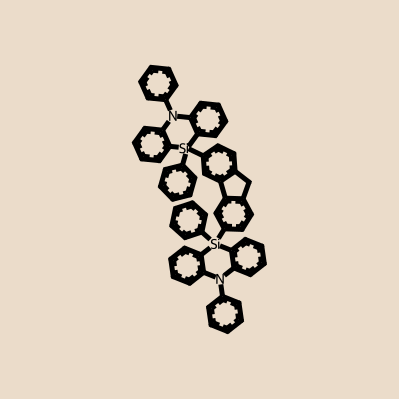 c1ccc(N2c3ccccc3[Si](c3ccccc3)(c3ccc4c(c3)-c3cc([Si]5(c6ccccc6)c6ccccc6N(c6ccccc6)c6ccccc65)ccc3C4)c3ccccc32)cc1